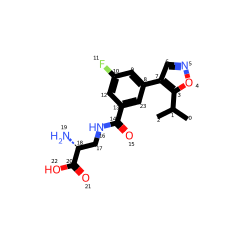 CC(C)c1oncc1-c1cc(F)cc(C(=O)NC[C@@H](N)C(=O)O)c1